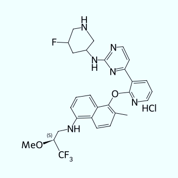 CO[C@@H](CNc1cccc2c(Oc3ncccc3-c3ccnc(NC4CNCC(F)C4)n3)c(C)ccc12)C(F)(F)F.Cl